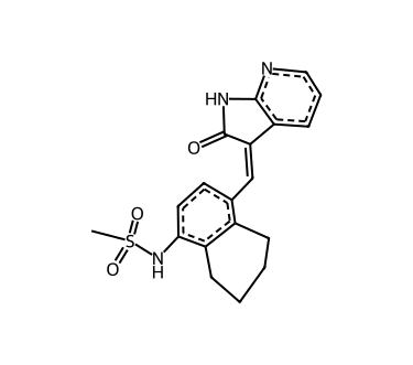 CS(=O)(=O)Nc1ccc(C=C2C(=O)Nc3ncccc32)c2c1CCCC2